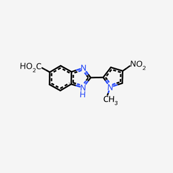 Cn1cc([N+](=O)[O-])cc1-c1nc2cc(C(=O)O)ccc2[nH]1